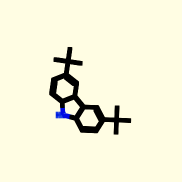 CC(C)(C)C1=CC2C(C=C1)NC1C=CC(C(C)(C)C)=CC12